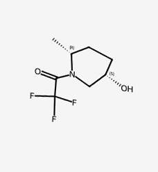 C[C@@H]1CC[C@H](O)CN1C(=O)C(F)(F)F